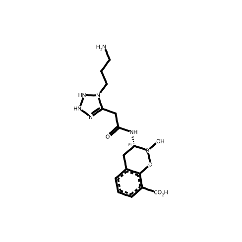 NCCCN1NNN=C1CC(=O)N[C@H]1Cc2cccc(C(=O)O)c2OB1O